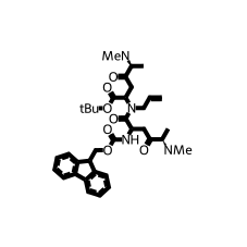 C=CCN(C(=O)C(CC(=O)[C@H](C)NC)NC(=O)OCC1c2ccccc2-c2ccccc21)C(CC(=O)[C@H](C)NC)C(=O)OC(C)(C)C